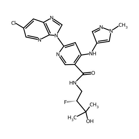 Cn1cc(Nc2cc(-n3cnc4cc(Cl)cnc43)ncc2C(=O)NC[C@@H](F)C(C)(C)O)cn1